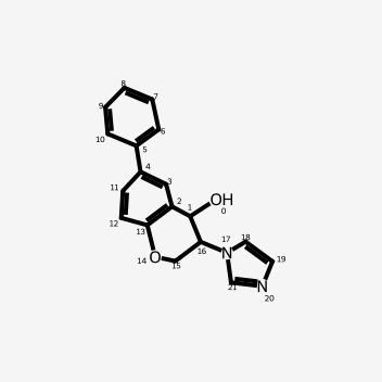 OC1c2cc(-c3ccccc3)ccc2OCC1n1ccnc1